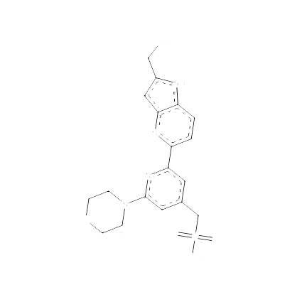 CC[C@@H]1COCCN1c1cc(CS(C)(=O)=O)cc(-c2ccc3[nH]c(CO)cc3n2)n1